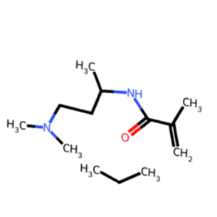 C=C(C)C(=O)NC(C)CCN(C)C.CCC